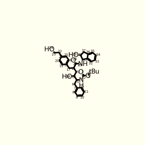 CC(C)(C)OC(=O)NC(Cc1ccccc1)C(O)CC(Cc1ccc(CCO)cc1)C(=O)N[C@H]1c2ccccc2C[C@@H]1O